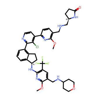 COc1nc(-c2ccnc(-c3cccc4c3CC[C@H]4Nc3nc(OC)c(CNC4CCOCC4)cc3C(F)(F)F)c2Cl)ccc1CNC[C@H]1CCC(=O)N1